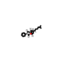 CC(C)=CCC[C@H](C)[C@H]1C[C@@H]2C(C)=C[C@H]1n1c(=O)n(-c3ccccc3)c(=O)n12